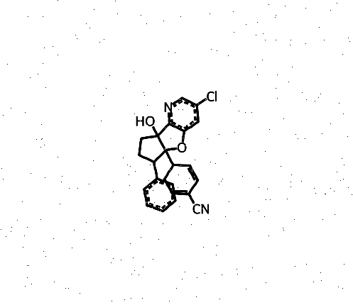 N#CC1=CCC(C23Oc4cc(Cl)cnc4C2(O)CCC3c2ccccc2)C=C1